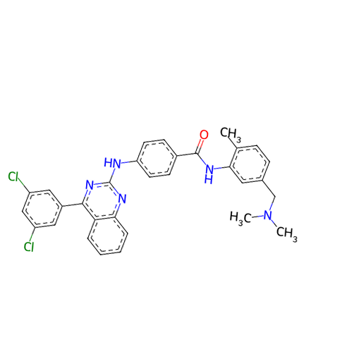 Cc1ccc(CN(C)C)cc1NC(=O)c1ccc(Nc2nc(-c3cc(Cl)cc(Cl)c3)c3ccccc3n2)cc1